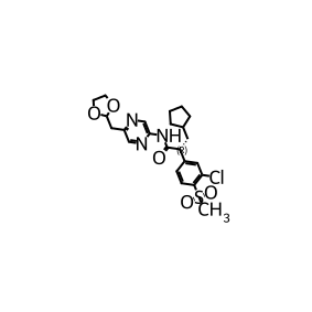 CS(=O)(=O)c1ccc([C@@H](CC2CCCC2)C(=O)Nc2cnc(CC3OCCO3)cn2)cc1Cl